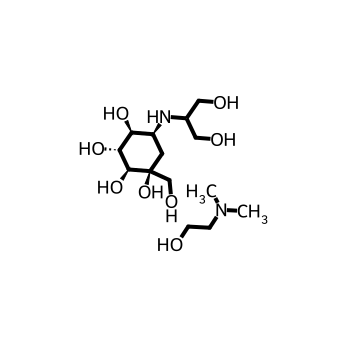 CN(C)CCO.OCC(CO)N[C@H]1C[C@](O)(CO)[C@@H](O)[C@H](O)[C@H]1O